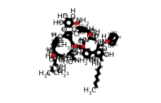 CCCCCCCCNCC1=C(O)CC2C(C3=C[C@H](CC[C@H]3O)[C@H]3NC(=O)[C@@H]4NC(=O)[C@H](CC(N)=O)NC(=O)[C@H](NC(=O)[C@@H](CC(C)C)NC)[C@H](O)[C@H]5C=C[C@@H](Oc6cc4cc(c6O[C@@H]4C[C@H](CN)[C@@H](O)[C@H](O)[C@H]4O)O[C@@H]4CC[C@@H](C=C4Cl)[C@@H](O)[C@H](NC3=O)C(=O)N[C@@H]2C(=O)NC2C3CC4CC(C3)CC2C4)[C@H](C)C5)[C@H]1O